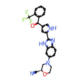 N#C[C@H]1CN(c2ccc3nc(-c4cc(C(=O)c5ccccc5C(F)(F)F)c[nH]4)[nH]c3c2)CCO1